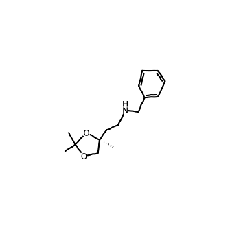 CC1(C)OC[C@](C)(CCNCc2ccccc2)O1